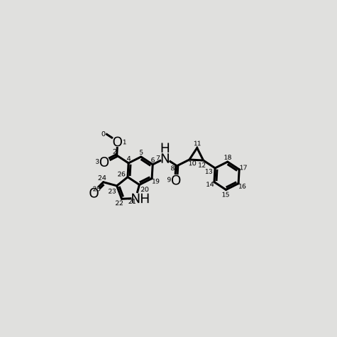 COC(=O)c1cc(NC(=O)C2CC2c2ccccc2)cc2[nH]cc(C=O)c12